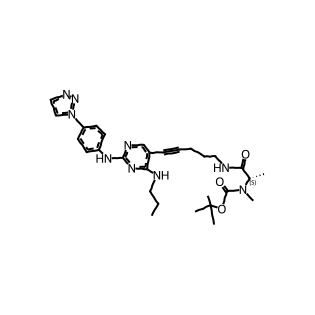 CCCNc1nc(Nc2ccc(-n3ccnn3)cc2)ncc1C#CCCCNC(=O)[C@H](C)N(C)C(=O)OC(C)(C)C